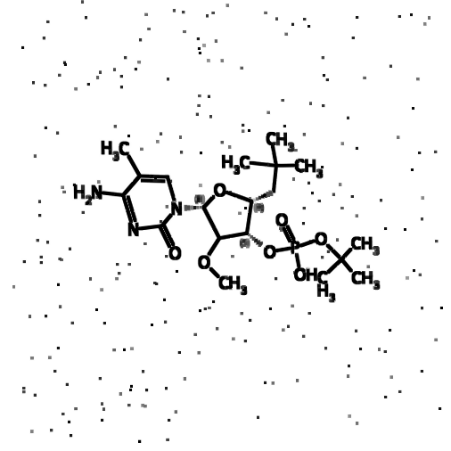 COC1[C@@H](OP(=O)(O)OC(C)(C)C)[C@@H](CC(C)(C)C)O[C@H]1n1cc(C)c(N)nc1=O